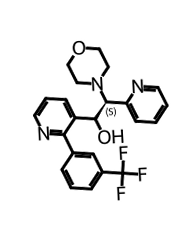 OC(c1cccnc1-c1cccc(C(F)(F)F)c1)[C@H](c1ccccn1)N1CCOCC1